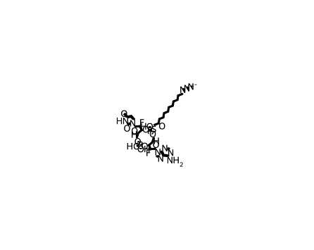 [N-]=[N+]=NCCCCCCCCCCC(=O)CSP1(=O)OC[C@H]2O[C@@H](n3cnc4c(N)ncnc43)[C@H](F)[C@@H]2OP(=O)(O)OC[C@H]2O[C@@H](n3ccc(=O)[nH]c3=O)[C@H](F)[C@@H]2O1